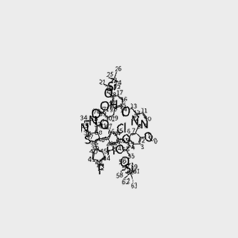 COc1ccccc1-c1nccc(COc2ccc(O[Si](C)(C)C(C)(C)C)cc2CC(Oc2ncnc3sc(-c4ccc(F)cc4)c(-c4ccc(OC[C@H](O)CO[Si](C)(C)C(C)(C)C)c(Cl)c4C)c23)C(=O)O)n1